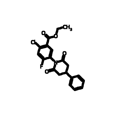 CCOC(=O)c1cc(N2C(=O)CC(c3ccccc3)CC2=O)c(F)cc1Cl